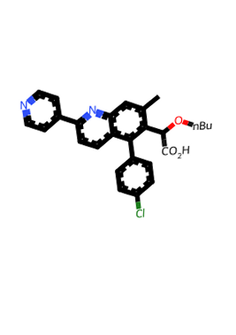 CCCCOC(C(=O)O)c1c(C)cc2nc(-c3ccncc3)ccc2c1-c1ccc(Cl)cc1